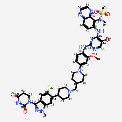 COc1cc(N2CCC(CN3CCC(c4cc5c(cc4F)c(N4CCC(=O)NC4=O)nn5C)CC3)CC2)ccc1Nc1ncc(Br)c(Nc2ccc3nccnc3c2N(C)S(C)(=O)=O)n1